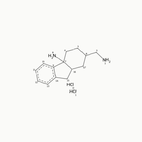 Cl.Cl.NCC1CCC2(N)c3ccccc3CC2C1